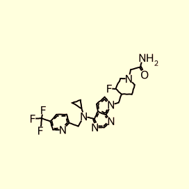 NC(=O)CN1CCC(Cn2ccc3c(N(Cc4ccc(C(F)(F)F)cn4)C4CC4)ncnc32)C(F)C1